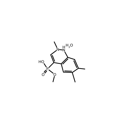 COP(=O)(O)C1=CN(C)Nc2cc(C)c(C)cc21.O